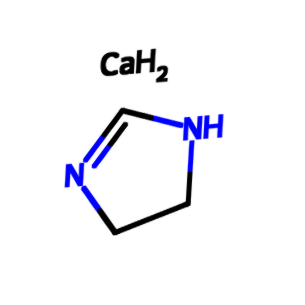 C1=NCCN1.[CaH2]